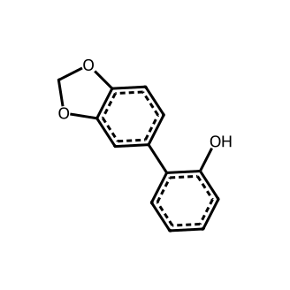 Oc1ccccc1-c1ccc2c(c1)OCO2